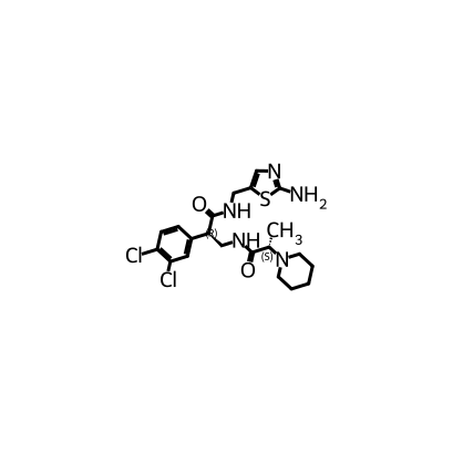 C[C@@H](C(=O)NC[C@H](C(=O)NCc1cnc(N)s1)c1ccc(Cl)c(Cl)c1)N1CCCCC1